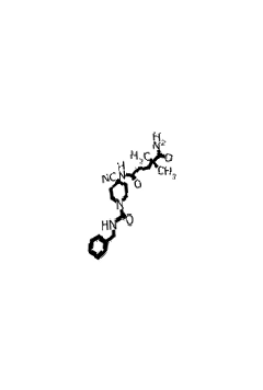 CC(C)(C[CH]C(=O)NC1(C#N)CCN(C(=O)NCc2ccccc2)CC1)C(N)=O